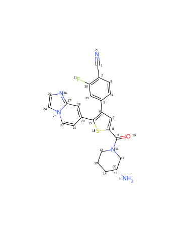 N#Cc1ccc(-c2cc(C(=O)N3CCC[C@@H](N)C3)sc2-c2ccn3ccnc3c2)cc1F